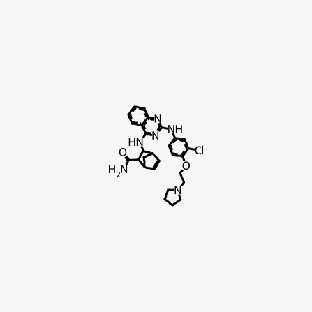 NC(=O)C1C2C=CC(C2)C1Nc1nc(Nc2ccc(OCCN3CCCC3)c(Cl)c2)nc2ccccc12